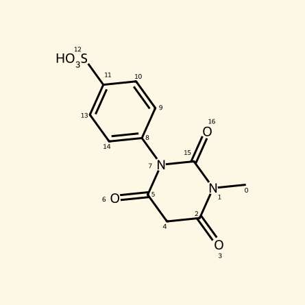 CN1C(=O)CC(=O)N(c2ccc(S(=O)(=O)O)cc2)C1=O